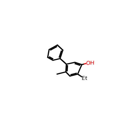 CCc1cc(C)c(-c2ccccc2)cc1O